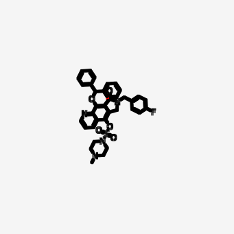 CN1CCN(S(=O)(=O)Oc2c3c(c(OC(c4ccccc4)c4ccccc4)c4ncccc24)C(=O)N(Cc2ccc(F)cc2)C3)CC1